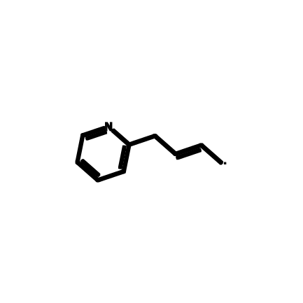 [CH2]/C=C/Cc1ccccn1